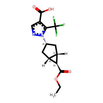 CCOC(=O)[C@H]1[C@@H]2C[C@H](n3ncc(C(=O)O)c3C(F)(F)F)C[C@@H]21